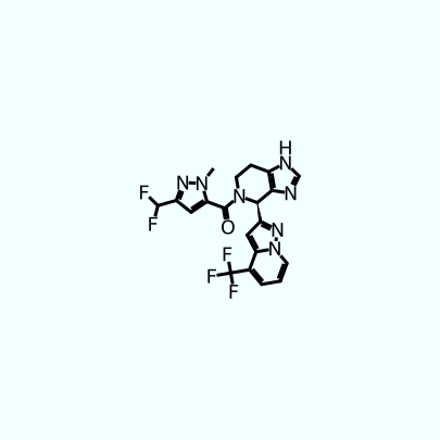 Cn1nc(C(F)F)cc1C(=O)N1CCc2[nH]cnc2[C@H]1c1cc2c(C(F)(F)F)cccn2n1